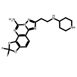 Nc1nc2c3c(ccc2c2nc(CCNC4CCNCC4)nn12)OC(F)(F)O3